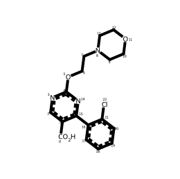 O=C(O)c1cnc(OCCN2CCOCC2)nc1-c1ccccc1Cl